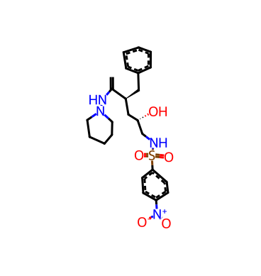 C=C(NN1CCCCC1)[C@@H](Cc1ccccc1)C[C@H](O)CNS(=O)(=O)c1ccc([N+](=O)[O-])cc1